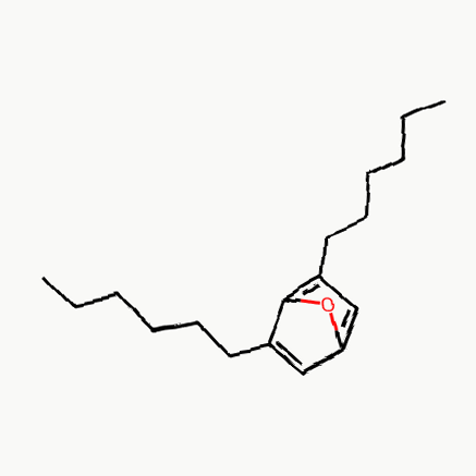 CCCCCCc1cc2cc(CCCCCC)c1o2